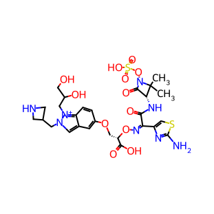 CC1(C)[C@H](NC(=O)/C(=N\O[C@@H](COc2ccc3c(c2)cn(CC2CNC2)[n+]3CC(O)CO)C(=O)O)c2csc(N)n2)C(=O)N1OS(=O)(=O)O